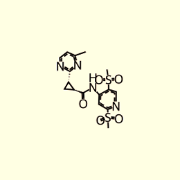 Cc1ccnc([C@H]2C[C@@H]2C(=O)Nc2cc(S(C)(=O)=O)ncc2S(C)(=O)=O)n1